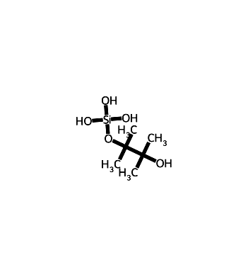 CC(C)(O)C(C)(C)O[Si](O)(O)O